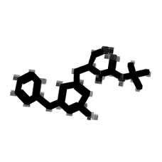 CC(C)(C)OC(=O)N[C@H](CO)Cc1cc(F)cc(Cc2ccccc2)c1